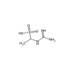 CC(NC(=N)N)S(=O)(=O)S